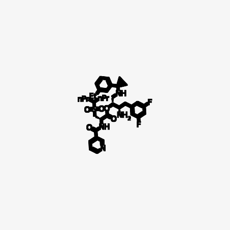 CCCC(CCC)S(=O)(=O)C[C@@H](NC(=O)c1cccnc1)C(=O)O[C@H](CNC1(c2cccc(CC)c2)CC1)[C@@H](N)Cc1cc(F)cc(F)c1